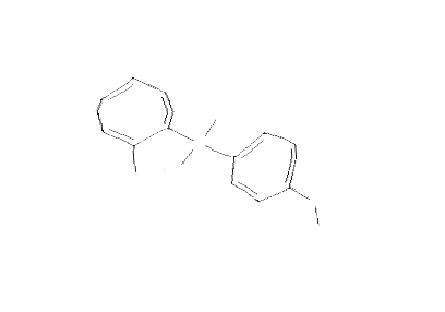 COc1ccc(S(C)(C)c2ccccc2C)cc1